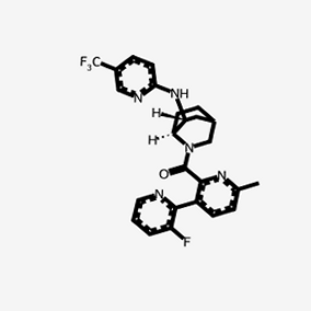 Cc1ccc(-c2ncccc2F)c(C(=O)N2CC3CC[C@H]2[C@H](Nc2ccc(C(F)(F)F)cn2)C3)n1